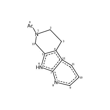 CC(=O)N1CCc2c([nH]c3ncccc23)C1